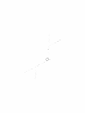 CCCCCCCCOC(CCC(=O)OCCCOc1ccc(OCCCOC(=O)CCC(OCCCCCCCC)OCCCCCCCC)c(C=O)c1)OCCCCCCCC